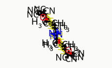 CC1(C)c2cc(/C=C3\C(=O)c4cc(C#N)c(C#N)cc4C3=C(C#N)C#N)sc2-c2sc3c4c(sc3c21)-c1sc(-c2c3c(c(-c5cc6c(s5)-c5sc7c8c(sc7c5C6(C)C)-c5sc(/C=C6\C(=O)c7cc(C#N)c(C#N)cc7C6=C(C#N)C#N)cc5C8(C)C)c5nsnc25)N=S=N3)cc1C4(C)C